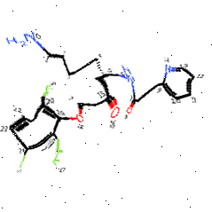 NCCCC[C@H](NC(=O)c1ccccn1)C(=O)COc1c(F)ccc(F)c1F